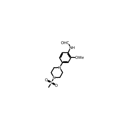 COc1cc(N2CCN(S(C)(=O)=O)CC2)ccc1NC=O